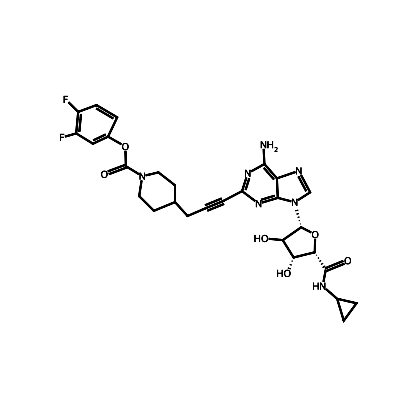 Nc1nc(C#CCC2CCN(C(=O)Oc3ccc(F)c(F)c3)CC2)nc2c1ncn2[C@@H]1O[C@H](C(=O)NC2CC2)[C@H](O)C1O